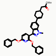 COC(=O)CC1CC=C(c2ccc3c(-c4ccc(OCc5ccccc5)nc4OCc4ccccc4)nn(C)c3c2)CC1